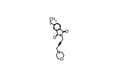 CSc1ccc2c(c1)C(=O)N(CC#CCN1CCOCC1)C2=O